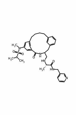 C[C@H](NCC1Cc2cccc(c2)CCCCc2cc(cc(N(C)S(=O)(=O)N(C)C)c2)C(=O)N1)C(=O)NCc1cccnc1